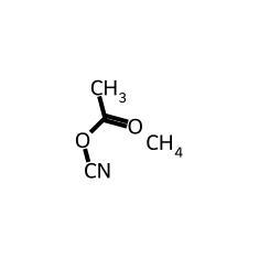 C.CC(=O)OC#N